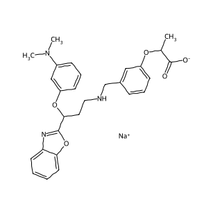 CC(Oc1cccc(CNCCC(Oc2cccc(N(C)C)c2)c2nc3ccccc3o2)c1)C(=O)[O-].[Na+]